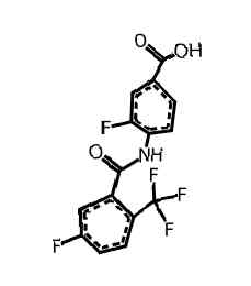 O=C(O)c1ccc(NC(=O)c2cc(F)ccc2C(F)(F)F)c(F)c1